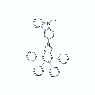 CCn1c2ccccc2c2cc(-n3cc4c(C5=CC=CCC5)c(-c5ccccc5)c(-c5ccccc5)c(-c5ccccc5)c4c3)ccc21